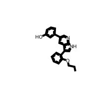 CCCOc1ccccc1-c1c[nH]c2ncc(-c3cccc(O)c3)cc12